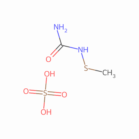 CSNC(N)=O.O=S(=O)(O)O